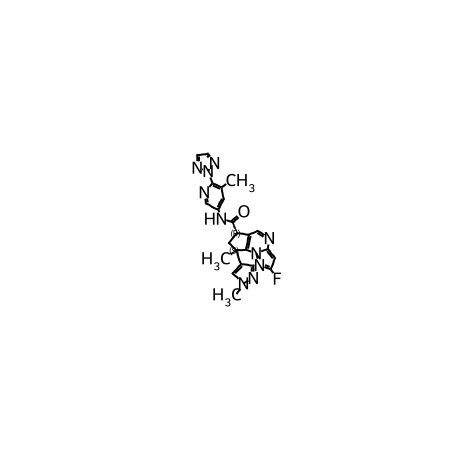 Cc1cc(NC(=O)[C@@H]2C[C@@](C)(c3cnn(C)c3)c3c2cnc2cc(F)nn32)cnc1-n1nccn1